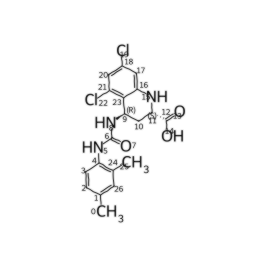 Cc1ccc(NC(=O)N[C@@H]2C[C@@H](C(=O)O)Nc3cc(Cl)cc(Cl)c32)c(C)c1